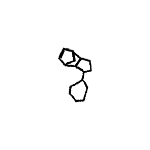 C1=CC2CC1C1CCC(C3CCCCC3)C21